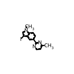 Cc1ccnc(-c2ccc3c(c2)c(I)cn3C)n1